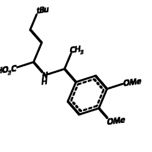 COc1ccc(C(C)NC(CCC(C)(C)C)C(=O)O)cc1OC